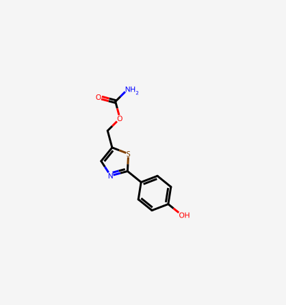 NC(=O)OCc1cnc(-c2ccc(O)cc2)s1